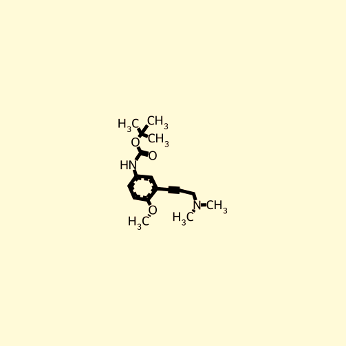 COc1ccc(NC(=O)OC(C)(C)C)cc1C#CCN(C)C